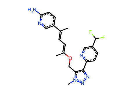 C/C(=C\C=C(/C)c1ccc(N)nc1)OCc1c(-c2ccc(C(F)F)cn2)nnn1C